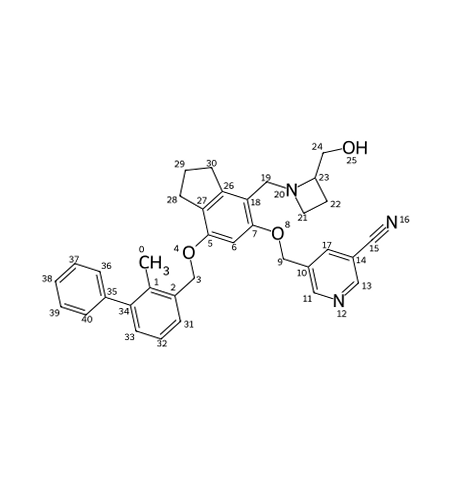 Cc1c(COc2cc(OCc3cncc(C#N)c3)c(CN3CCC3CO)c3c2CCC3)cccc1-c1ccccc1